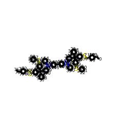 C=Cc1ccc(CSc2ccc(C3(c4ccc(Sc5ccccc5)cc4)c4ccccc4-c4ccc(N(c5ccccc5)c5ccc(-c6ccc(N(c7ccccc7)c7ccc8c(c7)C(c7ccc(SCc9ccc(C=C)cc9)cc7)(c7ccc(Sc9ccccc9)cc7)c7ccccc7-8)cc6)cc5)cc43)cc2)cc1